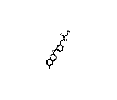 Cc1ccc2nc(Nc3cccc(CNC(=O)CC(C)C)c3)ncc2c1